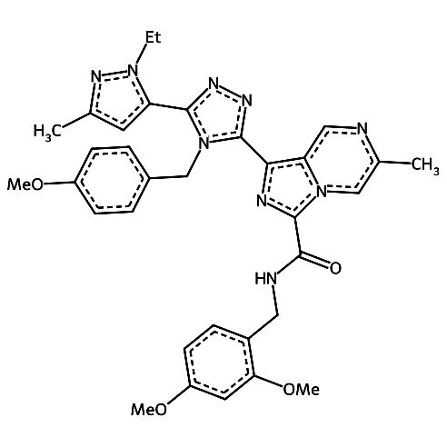 CCn1nc(C)cc1-c1nnc(-c2nc(C(=O)NCc3ccc(OC)cc3OC)n3cc(C)ncc23)n1Cc1ccc(OC)cc1